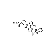 COC(=O)c1ccnc(NC(=O)C2=C(C)NC(Nc3nc4cccc(F)c4o3)=NC2c2ccccc2Cl)c1